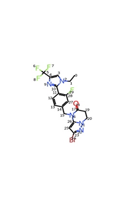 CCn1cc(C(F)(F)F)nc1-c1ccc(CN2C(=O)CCn3nc(Br)cc32)cc1F